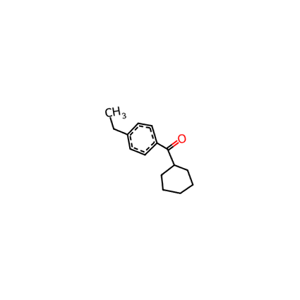 CCc1ccc(C(=O)C2CCCCC2)cc1